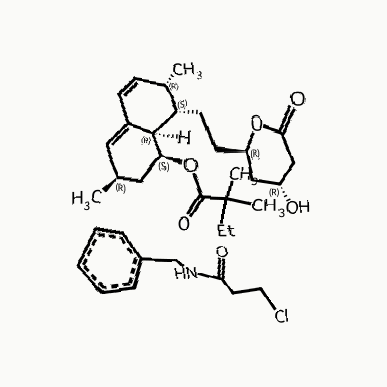 CCC(C)(C)C(=O)O[C@H]1C[C@@H](C)C=C2C=C[C@H](C)[C@H](CC[C@@H]3C[C@@H](O)CC(=O)O3)[C@H]21.O=C(CCCl)NCc1ccccc1